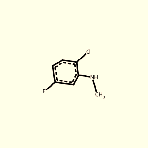 CNc1cc(F)ccc1Cl